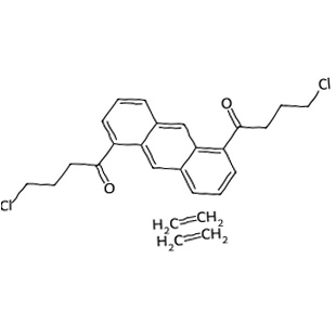 C=C.C=C.O=C(CCCCl)c1cccc2cc3c(C(=O)CCCCl)cccc3cc12